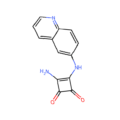 Nc1c(Nc2ccc3ncccc3c2)c(=O)c1=O